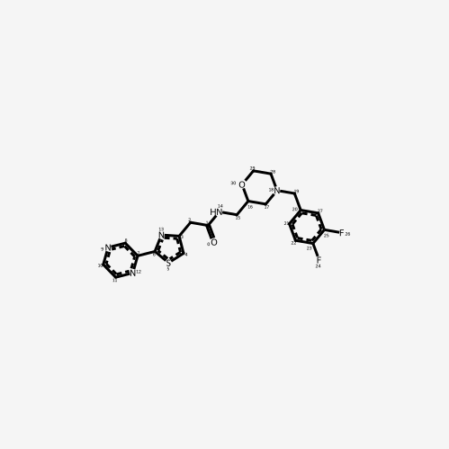 O=C(Cc1csc(-c2cnccn2)n1)NCC1CN(Cc2ccc(F)c(F)c2)CCO1